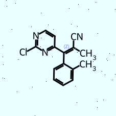 C/C(C#N)=C(/c1ccnc(Cl)n1)c1ccccc1C